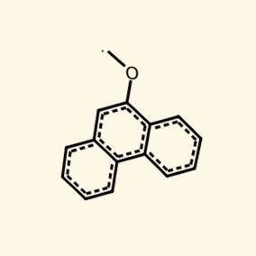 [CH2]Oc1cc2ccccc2c2ccccc12